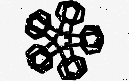 c1ccc([Si]2(C3CCCCC3)[Si](c3ccccc3)(C3CCCCC3)[Si](c3ccccc3)(C3CCCCC3)[Si](c3ccccc3)(C3CCCCC3)[Si]2(c2ccccc2)C2CCCCC2)cc1